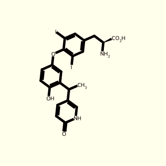 CC(c1ccc(=O)[nH]c1)c1cc(Oc2c(I)cc(C[C@H](N)C(=O)O)cc2I)ccc1O